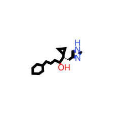 OC(CCCC1CCCCC1)[C@@H](Cc1c[nH]cn1)C1CC1